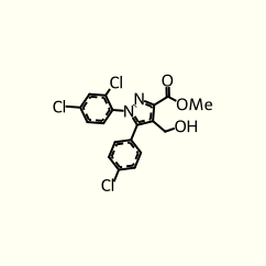 COC(=O)c1nn(-c2ccc(Cl)cc2Cl)c(-c2ccc(Cl)cc2)c1CO